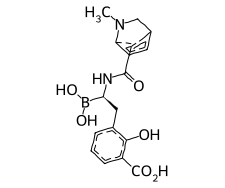 CN1Cc2ccc1c(C(=O)N[C@@H](Cc1cccc(C(=O)O)c1O)B(O)O)c2